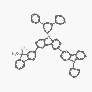 CC1(C)c2ccccc2-c2ccc(-c3ccc4c(c3)c3cc(-c5ccc6c(c5)c5ccccc5n6-c5ccccc5)ccc3n4-c3cc(-c4ccccc4)cc(-c4ccccc4)c3)cc21